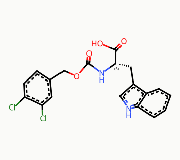 O=C(N[C@@H](Cc1c[nH]c2ccccc12)C(=O)O)OCc1ccc(Cl)c(Cl)c1